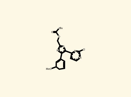 COC1C=C(c2nc(COC(=O)C(C)(C)C)sc2-c2ccnc(Cl)n2)C=CC1